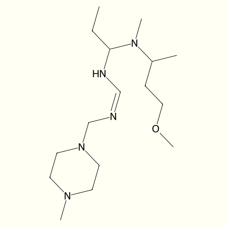 CCC(N/C=N\CN1CCN(C)CC1)N(C)C(C)CCOC